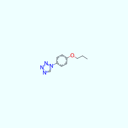 CCCOc1ccc(-n2cnnn2)cc1